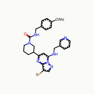 COc1ccc(CNC(=O)N2CCCC(c3cc(NCc4cccnc4)n4ncc(Br)c4n3)C2)cc1